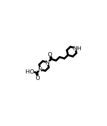 O=C(O)N1CCN(C(=O)CCCC2CCNCC2)CC1